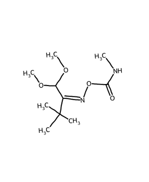 CNC(=O)ON=C(C(OC)OC)C(C)(C)C